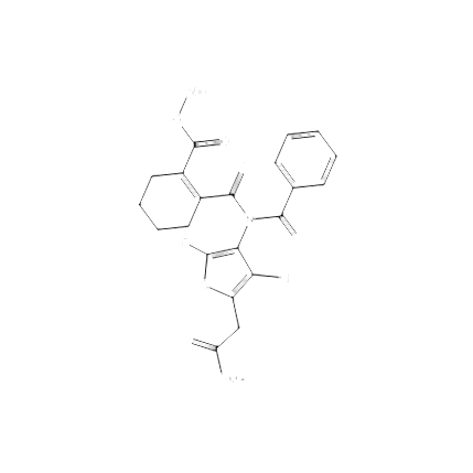 CCCCOC(=O)C1=C(C(=O)N(C(=O)c2ccccc2)c2c(F)sc(CC(=O)OC)c2Cl)CCCC1